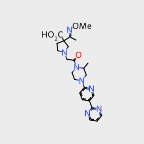 CON=C(C)C1(C(=O)O)CCN(CC(=O)N2CCN(c3ccc(-c4ncccn4)cn3)CC2C)C1